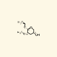 C=CO[C@@H]1OC[C@@H](O)C[C@@H]1OC